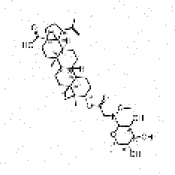 C=C(C)[C@@H]1CC[C@]2(C(=O)O)CC[C@]3(C)[C@H](CC[C@@H]4[C@@]5(C)CC[C@H](OC(=O)CN(OC)C6O[C@@H](C)[C@@H](O)[C@H](O)[C@@H]6O)C(C)(C)[C@@H]5CC[C@]43C)[C@@H]12